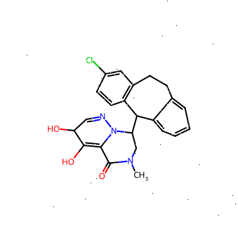 CN1CC(C2c3ccccc3CCc3cc(Cl)ccc32)N2N=CC(O)C(O)=C2C1=O